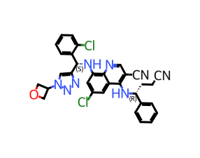 N#CCC[C@@H](Nc1c(C#N)cnc2c(N[C@H](c3cn(C4COC4)nn3)c3ccccc3Cl)cc(Cl)cc12)c1ccccc1